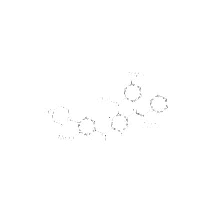 CNc1cccc(N(C)c2nc(Nc3ccc(N4CCNCC4)c(OC)c3)ncc2/N=C(\C=O)c2ccccc2)c1